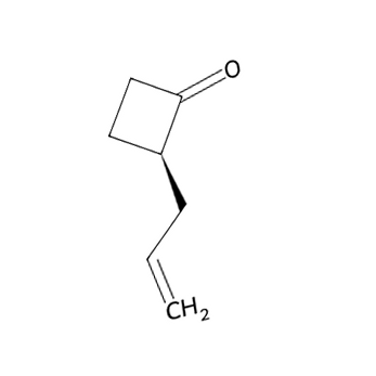 C=CC[C@H]1CCC1=O